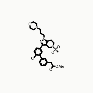 COC(=O)Cc1cccc(-c2cc(-c3nn(CCCN4CCOCC4)c4c3CN(S(C)(=O)=O)CC4)ccc2Cl)c1